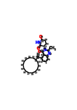 Cc1nc2cccc(BC3CCCCCCCCCCCCC3)c2c(=O)n1[C@H]1CCC(=O)NC1=O